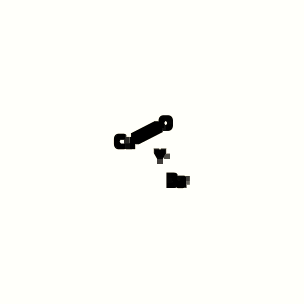 [Ba].[O]=[Cu].[Y]